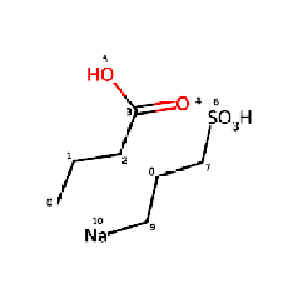 CCCC(=O)O.O=S(=O)(O)CC[CH2][Na]